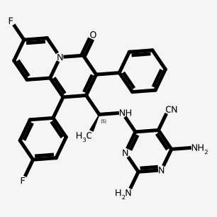 C[C@H](Nc1nc(N)nc(N)c1C#N)c1c(-c2ccccc2)c(=O)n2cc(F)ccc2c1-c1ccc(F)cc1